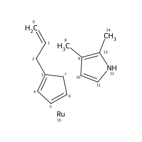 C=CCC1=CC=CC1.Cc1cc[nH]c1C.[Ru]